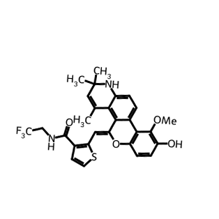 COc1c(O)ccc2c1-c1ccc3c(c1/C(=C/c1sccc1C(=O)NCC(F)(F)F)O2)C(C)=CC(C)(C)N3